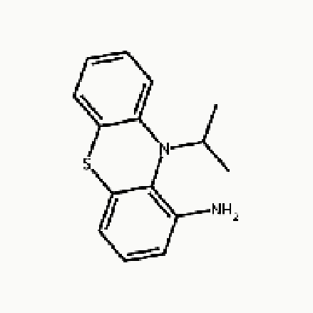 CC(C)N1c2ccccc2Sc2cccc(N)c21